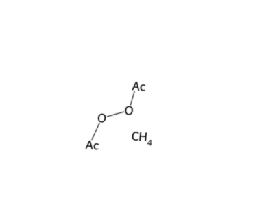 C.CC(=O)OOC(C)=O